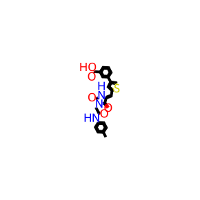 Cc1ccc(NC(=O)CN2C(=O)N/C(=C\c3cc(-c4cccc(C(=O)O)c4)cs3)C2=O)cc1